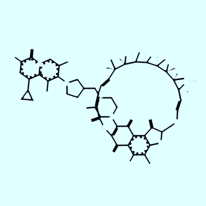 CO[C@H]1/C=C/O[C@@]2(C)Oc3c(C)c(O)c4c(c3C2=O)C(=O)C(N2CCN(CC3CCN(c5c(F)cn6c(=O)c(C(=O)O)cc(C7CC7)c6c5C)C3)CC2)=C(NC(=O)/C(C)=C\C=C\[C@H](C)[C@H](O)[C@@H](C)[C@@H](O)[C@@H](C)[C@H](OC(C)=O)[C@@H]1C)C4=O